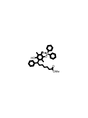 COC(=O)CCCCCC(c1ccccc1)c1c(C)c(O[Si](c2ccccc2)(c2ccccc2)C(C)(C)C)c(C)c(C)c1O